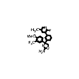 COc1ccc(C2(c3cccc(-c4cc(C)cnc4F)c3)COC(N)=N2)cc1C(F)(F)F